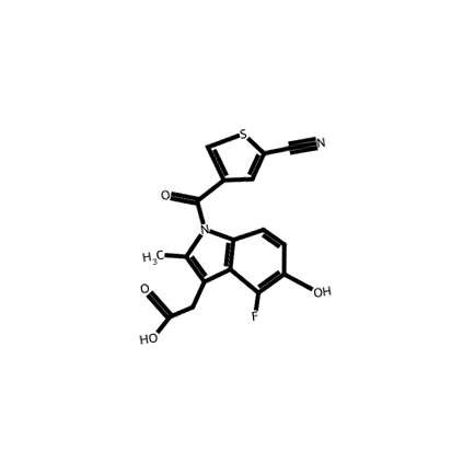 Cc1c(CC(=O)O)c2c(F)c(O)ccc2n1C(=O)c1csc(C#N)c1